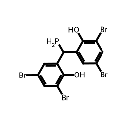 Oc1c(Br)cc(Br)cc1C(P)c1cc(Br)cc(Br)c1O